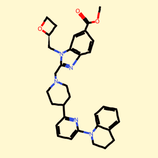 COC(=O)c1ccc2nc(CN3CCC(c4cccc(N5CCCc6ccccc65)n4)CC3)n(C[C@@H]3CCO3)c2c1